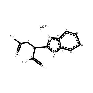 O=C([O-])CC(C([O-])=S)c1nc2ccccc2s1.[Co+2]